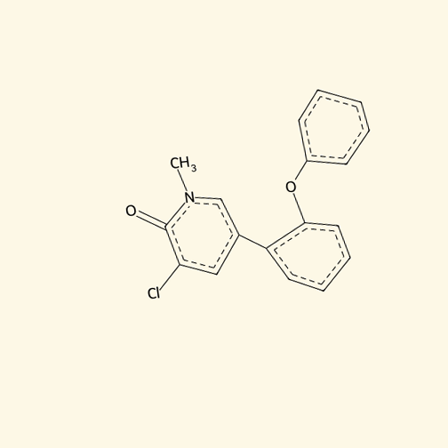 Cn1cc(-c2ccccc2Oc2ccccc2)cc(Cl)c1=O